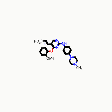 COc1ccccc1Oc1nc(Nc2ccc(N3CCN(C)CC3)cc2)ncc1/C=C/C(=O)O